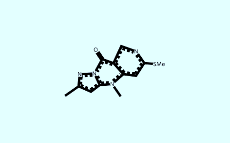 CSc1cc2c(cn1)c(=O)n1nc(C)cc1n2C